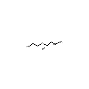 F.NNCCOCCO